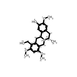 COc1cc2c(cc1O)C1Cc3c(CO)c(OC)cc(OC)c3CN1[C@@H](C)C2